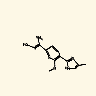 COc1nc(C(N)=NO)ccc1-c1nc(C)c[nH]1